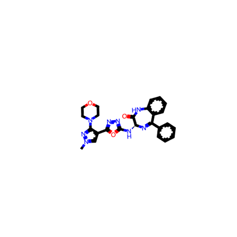 Cn1cc(-c2nnc(N[C@H]3N=C(c4ccccc4)c4ccccc4NC3=O)o2)c(N2CCOCC2)n1